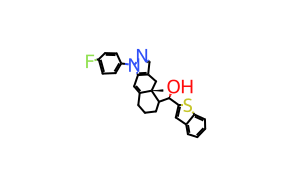 C[C@]12Cc3cnn(-c4ccc(F)cc4)c3C=C1CCCC2[C@@H](O)c1cc2ccccc2s1